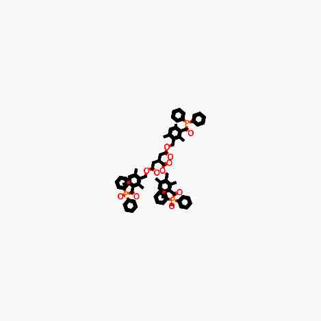 Cc1cc(C)c(C(=O)P(c2ccccc2)c2ccccc2)c(C)c1COC(=O)CC(CC(=O)OCc1c(C)cc(C)c(C(=O)P(=O)(c2ccccc2)c2ccccc2)c1C)C(=O)OCc1c(C)cc(C)c(C(=O)P(=O)(c2ccccc2)c2ccccc2)c1C